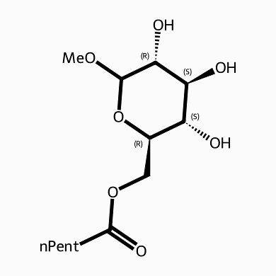 CCCCCC(=O)OC[C@H]1OC(OC)[C@H](O)[C@@H](O)[C@@H]1O